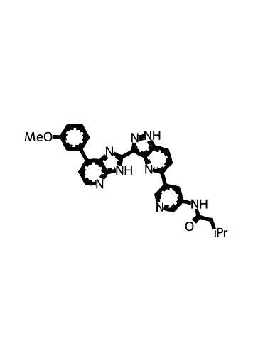 COc1cccc(-c2ccnc3[nH]c(-c4n[nH]c5ccc(-c6cncc(NC(=O)CC(C)C)c6)nc45)nc23)c1